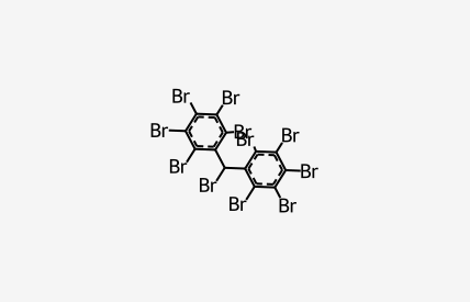 Brc1c(Br)c(Br)c(C(Br)c2c(Br)c(Br)c(Br)c(Br)c2Br)c(Br)c1Br